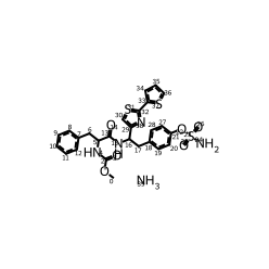 COC(=O)NC(Cc1ccccc1)C(=O)NC(Cc1ccc(OS(N)(=O)=O)cc1)c1csc(-c2cccs2)n1.N